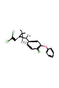 CC1(C)[C@H](C=C(Cl)Cl)[C@@]1(C(=O)O)[C@@H](C#N)c1ccc(F)c(Oc2ccccc2)c1